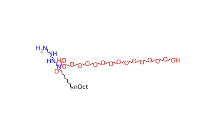 CCCCCCCC/C=C\CCCCCCCC(=O)N(CCNCCNCCN)C(CO)OCCOCCOCCOCCOCCOCCOCCOCCOCCOCCOCCOCCOCCOCCO